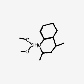 CO[SiH](OC)N1C(C)CC(C)C2CCCCC21